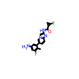 Cc1c(F)cc(N)cc1-c1ccc2nc(NC(=O)C3CC3F)cn2c1